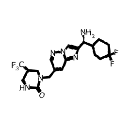 N[C@H](c1cn2ncc(CN3CC(C(F)(F)F)CNC3=O)cc2n1)C1CCC(F)(F)CC1